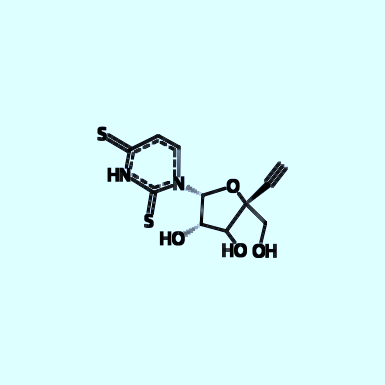 C#C[C@]1(CO)O[C@@H](n2ccc(=S)[nH]c2=S)[C@@H](O)C1O